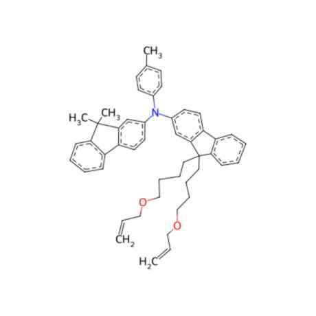 C=CCOCCCCC1(CCCCOCC=C)c2ccccc2-c2ccc(N(c3ccc(C)cc3)c3ccc4c(c3)C(C)(C)c3ccccc3-4)cc21